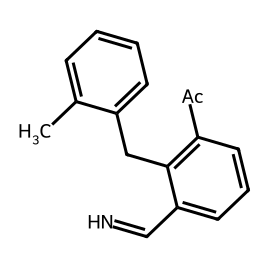 CC(=O)c1cccc(C=N)c1Cc1ccccc1C